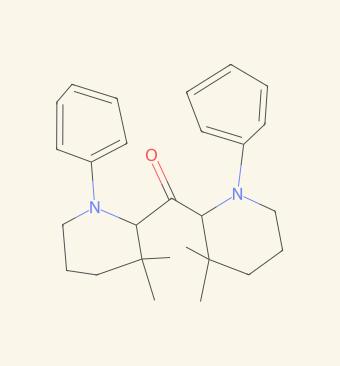 CC1(C)CCCN(c2ccccc2)C1C(=O)C1N(c2ccccc2)CCCC1(C)C